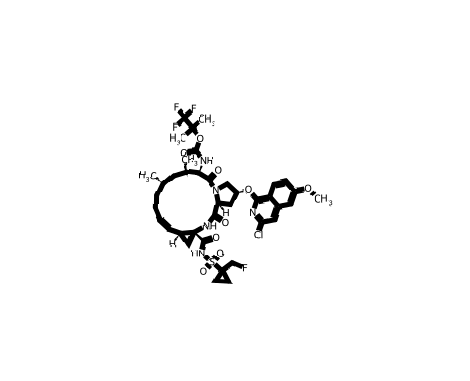 COc1ccc2c(O[C@@H]3C[C@H]4C(=O)N[C@]5(C(=O)NS(=O)(=O)C6(CF)CC6)C[C@H]5/C=C\CC[C@H](C)C[C@@H](C)[C@H](NC(=O)OC(C)(C)C(F)(F)F)C(=O)N4C3)nc(Cl)cc2c1